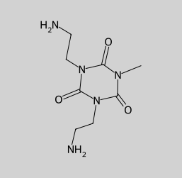 Cn1c(=O)n(CCN)c(=O)n(CCN)c1=O